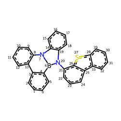 c1ccc2c(c1)B1N(c3ccccc3-2)c2ccccc2N1c1cccc2c1sc1ccccc12